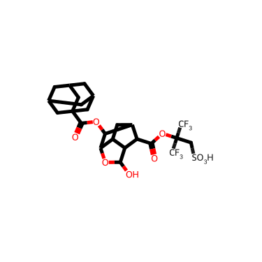 O=C(OC(CS(=O)(=O)O)(C(F)(F)F)C(F)(F)F)C1C2CC3C(OC(O)C31)C2OC(=O)C12CC3CC(CC(C3)C1)C2